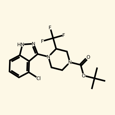 CC(C)(C)OC(=O)N1CCN(c2n[nH]c3cccc(Cl)c23)C(C(F)(F)F)C1